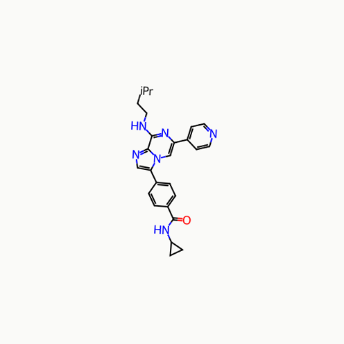 CC(C)CCNc1nc(-c2ccncc2)cn2c(-c3ccc(C(=O)NC4CC4)cc3)cnc12